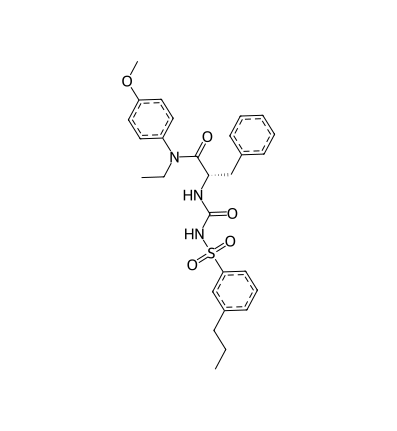 CCCc1cccc(S(=O)(=O)NC(=O)N[C@@H](Cc2ccccc2)C(=O)N(CC)c2ccc(OC)cc2)c1